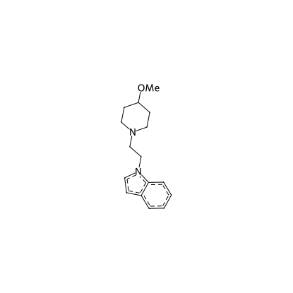 COC1CCN(CCn2ccc3ccccc32)CC1